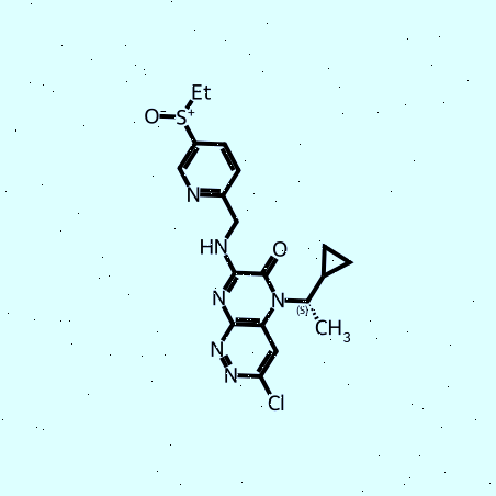 CC[S+]([O-])c1ccc(CNc2nc3nnc(Cl)cc3n([C@@H](C)C3CC3)c2=O)nc1